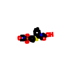 Cc1c(Sc2ccc(S(=O)(=O)N3CCOCC3)cc2)c2c(n1CC(=O)O)CC(C)(C)CC2